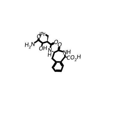 CC(C)C[C@@H](C(=O)N[C@H]1Cc2ccccc2[C@H](C(=O)O)NC1=O)C(O)C(N)=O